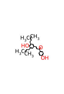 CC(C)=CCc1cc(C=CC(=O)c2ccc(O)cc2)cc(CC=C(C)C)c1O